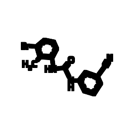 Cc1c(Br)cccc1NC(=O)Nc1cccc(C#N)c1